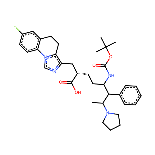 CC(C(c1ccccc1)C(CC[C@@H](Cc1ncn2c1CCc1cc(F)ccc1-2)C(=O)O)NC(=O)OC(C)(C)C)N1CCCC1